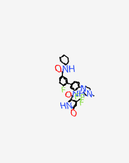 CN1CCN(c2ccc(-c3cc(C(=O)NC4CCCCC4)ccc3F)cc2NC(=O)c2c[nH]c(=O)cc2C(F)(F)F)CC1